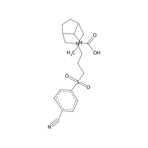 CN(C(=O)O)C1C2CCC1CN(CCCS(=O)(=O)c1ccc(C#N)cc1)C2